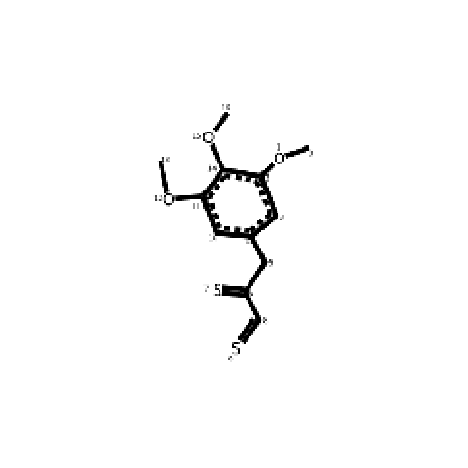 COc1cc(CC(=S)[C]=S)cc(OC)c1OC